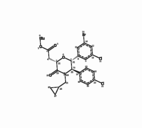 CC(C)(C)OC(=O)C[C@@H]1O[C@H](c2cc(Cl)cc(Br)c2)[C@@H](c2ccc(Cl)cc2)N(CC2CC2)C1=O